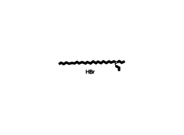 Br.CCCCCCCCCCCCCCCCCCCCCCP(CCC)CCC